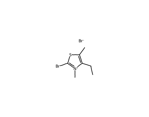 CCc1c(C)sc(Br)[n+]1C.[Br-]